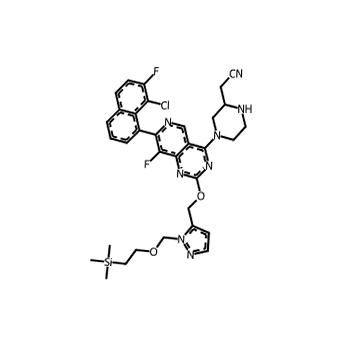 C[Si](C)(C)CCOCn1nccc1COc1nc(N2CCNC(CC#N)C2)c2cnc(-c3cccc4ccc(F)c(Cl)c34)c(F)c2n1